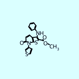 CCOC(=O)c1sc2c(ccc(=O)n2-c2ccsc2)c1Nc1ccccc1